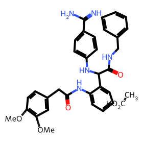 CC(=O)O.COc1ccc(CC(=O)Nc2ccccc2C(Nc2ccc(C(=N)N)cc2)C(=O)NCc2ccccc2)cc1OC